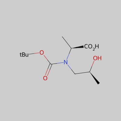 C[C@H](O)CN(C(=O)OC(C)(C)C)[C@@H](C)C(=O)O